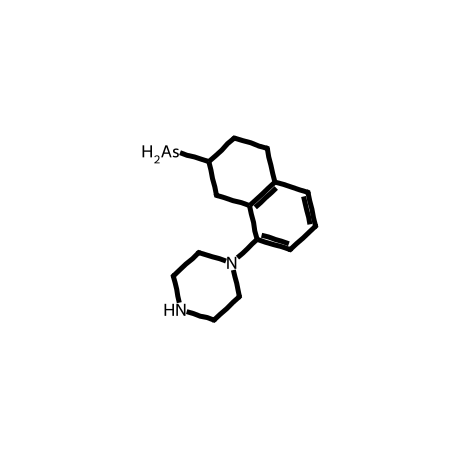 [AsH2]C1CCc2cccc(N3CCNCC3)c2C1